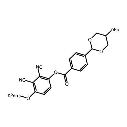 [C-]#[N+]c1c(OC(=O)c2ccc(C3OCC(CCCC)CO3)cc2)ccc(OCCCCC)c1C#N